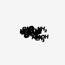 COc1cc(-c2cccc3nc([C@@H](C)Nc4nc(N)ncc4C(=O)N(C)CCO)n(-c4ccccc4)c(=O)c23)ccn1